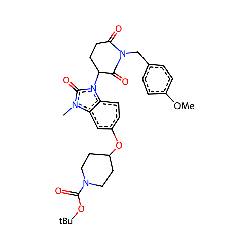 COc1ccc(CN2C(=O)CCC(n3c(=O)n(C)c4cc(OC5CCN(C(=O)OC(C)(C)C)CC5)ccc43)C2=O)cc1